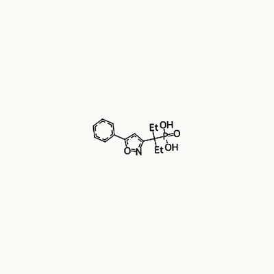 CCC(CC)(c1cc(-c2ccccc2)on1)P(=O)(O)O